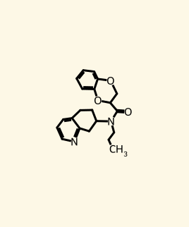 CCCN(C(=O)C1COc2ccccc2O1)C1CCc2cccnc2C1